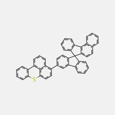 c1ccc2c(c1)Sc1ccc(-c3ccc4c(c3)-c3ccccc3C43c4ccccc4-c4c3ccc3ccccc43)c3cccc-2c13